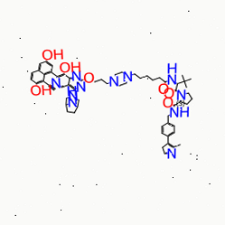 C#Cc1c(O)ccc2cc(O)cc(-c3ncc4c(N5CC6CCC(C5)N6)nc(OCCCN5CCN(CCCCCC(=O)NC(C(=O)N6CCC[C@H]6C(=O)NCc6ccc(C7=C(C)N=CC7)cc6)C(C)(C)C)CC5)nc4c3O)c12